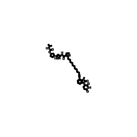 CC(C)NC(=O)O[C@@H]1CC[C@H](c2cc(NC(=O)c3ccnn3CCCCCCCCCCC#Cc3cccc4c3n(C)c(=O)n4C3CCC(=O)NC3=O)n[nH]2)C1